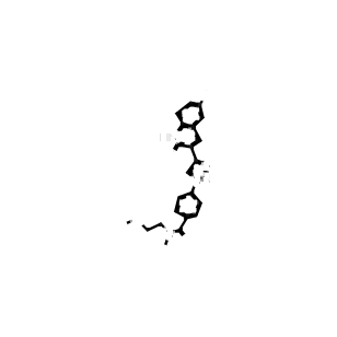 COCCN(C)C(=O)c1ccc(-n2cc(-c3cc4cc(F)ccc4[nH]c3=O)nn2)cc1